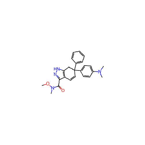 CON(C)C(=O)c1n[nH]c2c1C=CC(c1ccccc1)(c1ccc(N(C)C)cc1)C2